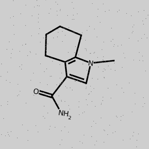 Cn1cc(C(N)=O)c2c1CCCC2